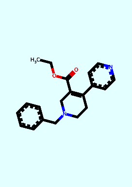 CCOC(=O)C1=C(c2ccncc2)CCN(Cc2ccccc2)C1